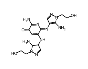 NC1=N/C(=N\c2cnn(CCO)c2N)C(NC2C=NN(CCO)C2N)=CC1=O